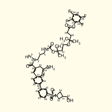 CCCN(CCCNC(=O)OC(C)(C)CCOC(C)(C)CCC(=O)Oc1c(F)c(F)cc(F)c1F)C(=O)C1=Cc2ccc(-c3cccc(S(=O)(=O)N4CC(CO)C4)c3)cc2N=C(N)C1